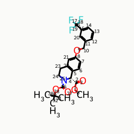 COC(=O)[C@H]1c2ccc(OCc3cccc(C(F)(F)F)c3)cc2CCN1C(=O)OC(C)(C)C